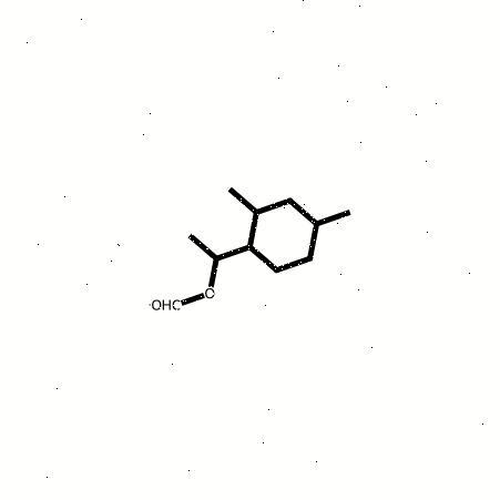 CC1CCC(C(C)O[C]=O)C(C)C1